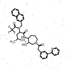 CC(C)CC(C(=O)NC1CCCN(C(=O)Cc2cccc(-c3ccccn3)c2)CC1O)N(Cc1ccc2ccccc2c1)C(=O)C(F)(F)F